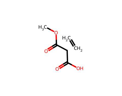 C=C.COC(=O)CC(=O)O